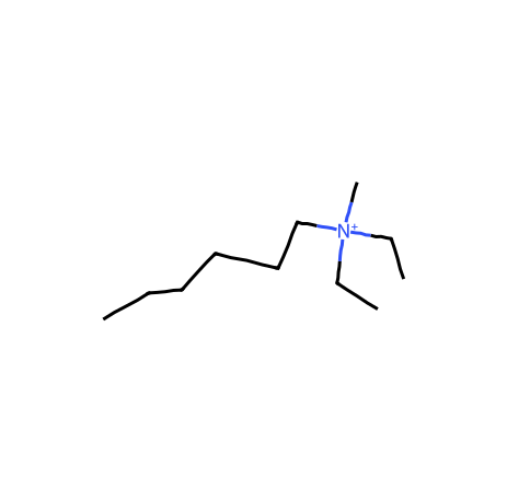 CCCCCC[N+](C)(CC)CC